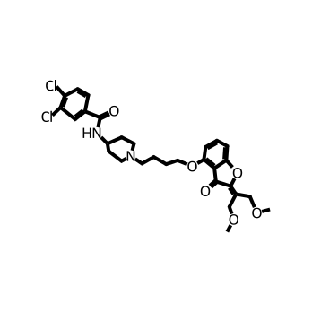 COCC(COC)=C1Oc2cccc(OCCCCN3CCC(NC(=O)c4ccc(Cl)c(Cl)c4)CC3)c2C1=O